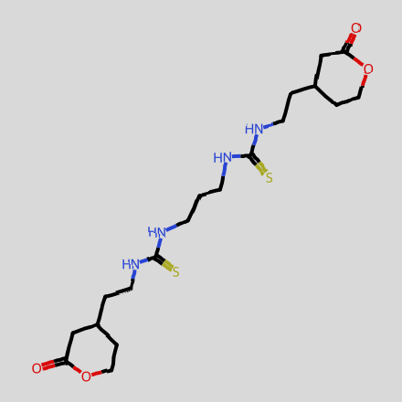 O=C1CC(CCNC(=S)NCCCNC(=S)NCCC2CCOC(=O)C2)CCO1